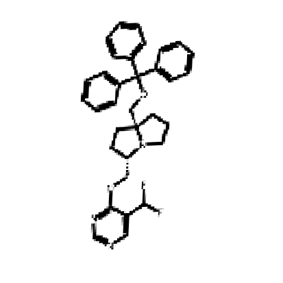 FC(F)c1cncnc1OC[C@@H]1CC[C@]2(COC(c3ccccc3)(c3ccccc3)c3ccccc3)CCCN12